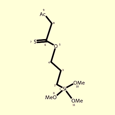 CO[Si](CCCOC(=S)CC(C)=O)(OC)OC